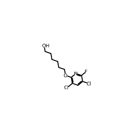 OCCCCCCOc1nc(F)c(Cl)cc1Cl